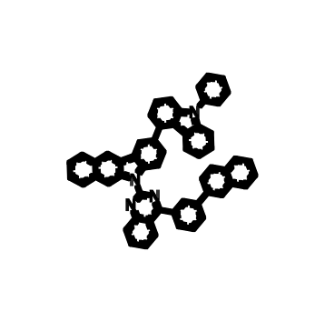 c1ccc(-n2c3ccccc3c3c(-c4ccc5c(c4)c4cc6ccccc6cc4n5-c4nc(-c5cccc(-c6ccc7ccccc7c6)c5)c5ccccc5n4)cccc32)cc1